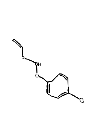 C=COBOc1ccc(Cl)cc1